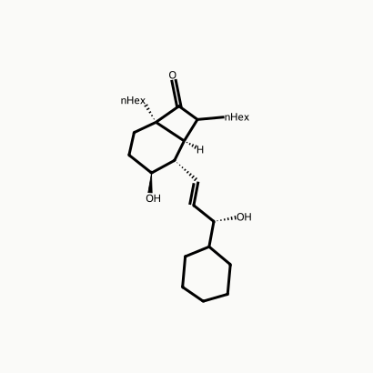 CCCCCCC1C(=O)[C@]2(CCCCCC)CC[C@H](O)[C@@H](/C=C/[C@H](O)C3CCCCC3)[C@H]12